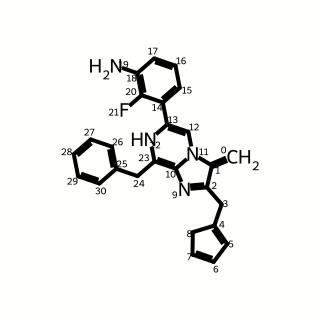 C=c1c(CC2=CC=CC2)nc2n1C=C(c1cccc(N)c1F)NC=2Cc1ccccc1